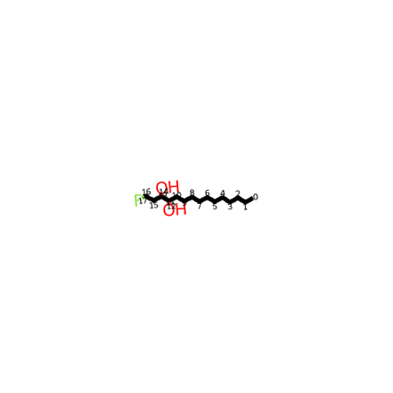 CCCCCCCCCCCC(O)C(O)CCF